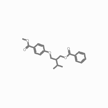 COC(=O)c1ccc(OCC(COC(=O)c2ccccc2)C(C)C)cc1